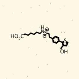 O=C(O)CCCCCCNS(=O)(=O)CCc1ccc(-c2sccc2CO)cc1